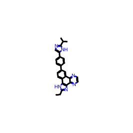 CCc1nc2c3nccnc3c3cc(-c4ccc(-c5cnc(C(C)C)[nH]5)cc4)ccc3c2[nH]1